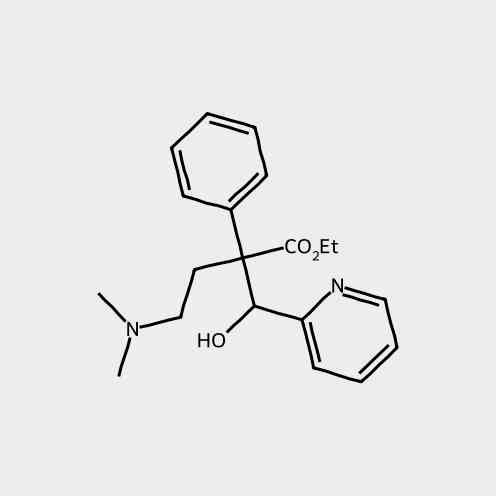 CCOC(=O)C(CCN(C)C)(c1ccccc1)C(O)c1ccccn1